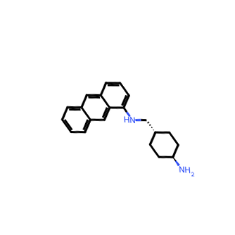 N[C@H]1CC[C@H](CNc2cccc3cc4ccccc4cc23)CC1